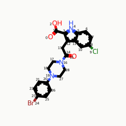 O=C(O)c1[nH]c2ccc(Cl)cc2c1CC(=O)N1CCN(c2ccc(Br)cc2)CC1